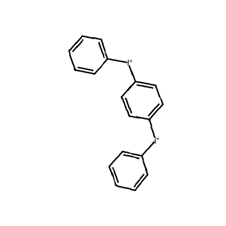 c1ccc([I+]c2ccc([I+]c3ccccc3)cc2)cc1